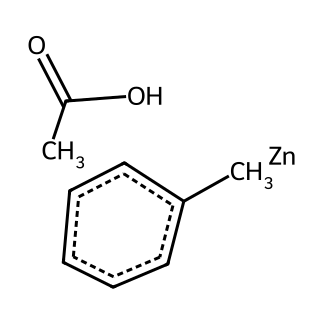 CC(=O)O.Cc1ccccc1.[Zn]